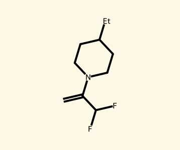 C=C(C(F)F)N1CCC(CC)CC1